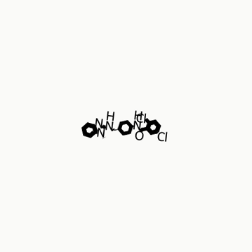 Cn1c(NC[C@H]2CC[C@H](NC(=O)c3cc(Cl)ccc3Cl)CC2)nc2ccccc21